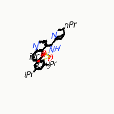 CCCC1C[N@@]2CCC1CC2C(NS(=O)(=O)c1c(C(C)C)cc(C(C)C)cc1C(C)C)c1ccnc2ccc(C)cc12